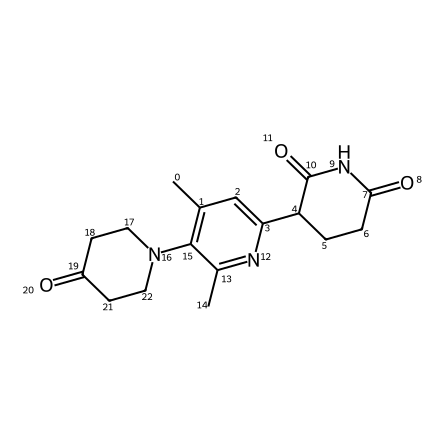 Cc1cc(C2CCC(=O)NC2=O)nc(C)c1N1CCC(=O)CC1